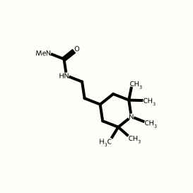 CNC(=O)NCCC1CC(C)(C)N(C)C(C)(C)C1